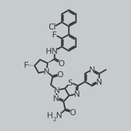 Cc1ncc(C2=NC3C(C(N)=O)=NN(CC(=O)N4C[C@H](F)C[C@H]4C(=O)Nc4cccc(-c5ccccc5Cl)c4F)C3S2)cn1